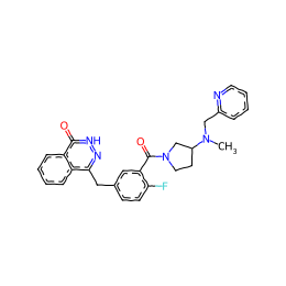 CN(Cc1ccccn1)C1CCN(C(=O)c2cc(Cc3n[nH]c(=O)c4ccccc34)ccc2F)C1